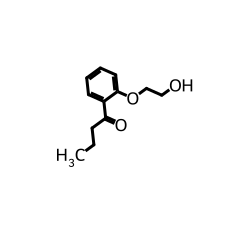 CCCC(=O)c1ccccc1OCCO